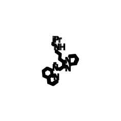 CC(C)CNCCCc1c(CN(C)[C@H]2CCCc3cccnc32)nc2ccccn12